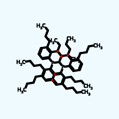 CCCCc1cccc(P(c2cccc(CCCC)c2CCCC)C(CCCC)P(c2cccc(CCCC)c2CCCC)c2cccc(CCCC)c2CCCC)c1CCCC